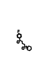 O=C(CCCC(=O)N1CCCCC1)c1ccc(F)cc1